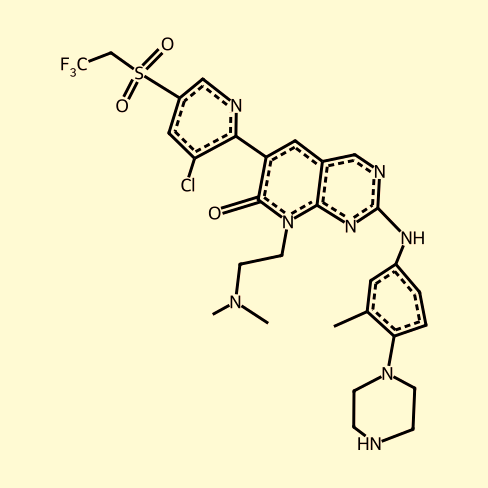 Cc1cc(Nc2ncc3cc(-c4ncc(S(=O)(=O)CC(F)(F)F)cc4Cl)c(=O)n(CCN(C)C)c3n2)ccc1N1CCNCC1